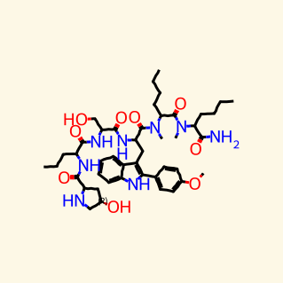 CCCCC(C(=O)N(C)C(CCCC)C(N)=O)N(C)C(=O)C(Cc1c(-c2ccc(OC)cc2)[nH]c2ccccc12)NC(=O)C(CO)NC(=O)C(CCC)NC(=O)C1C[C@@H](O)CN1